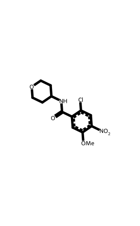 COc1cc(C(=O)NC2CCOCC2)c(Cl)cc1[N+](=O)[O-]